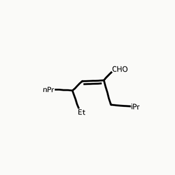 CCCC(C=C(C=O)CC(C)C)CC